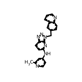 Cc1cc(Nc2ccc3nnn(Cc4ccc5ncccc5c4)c3n2)ccn1